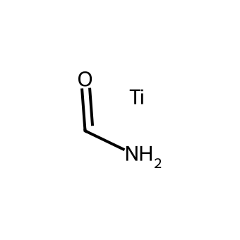 NC=O.[Ti]